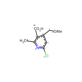 COCc1cc(Cl)nc(C)c1C(=O)O